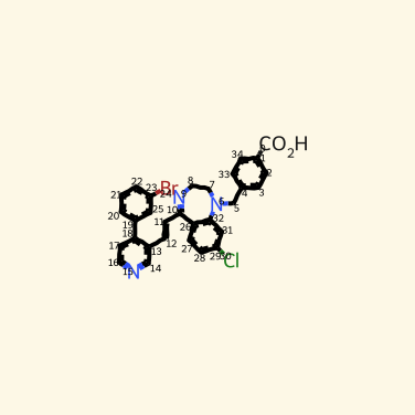 O=C(O)c1ccc(CN2CCN=C(C=Cc3cnccc3-c3cccc(Br)c3)c3ccc(Cl)cc32)cc1